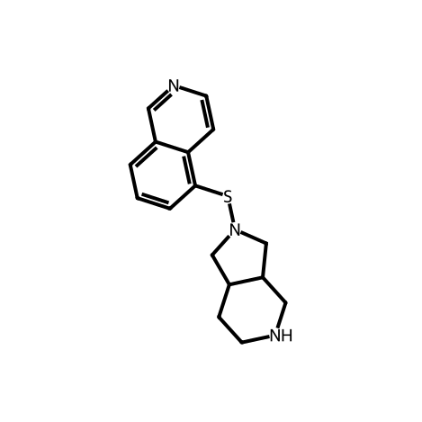 c1cc(SN2CC3CCNCC3C2)c2ccncc2c1